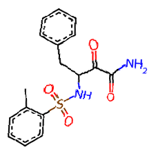 Cc1ccccc1S(=O)(=O)NC(Cc1ccccc1)C(=O)C(N)=O